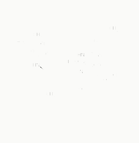 C=CCOC(=O)NS(=O)(=O)N(CC(=O)OC)c1c(OCc2ccccc2)cc2c(c1F)C[C@H](NC(=O)OC(C)(C)C)C=C2C